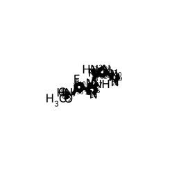 CS(=O)(=O)NCc1cc(F)cc(-c2cncc3[nH]c(-c4n[nH]c5cnc(-c6cnccn6)cc45)nc23)c1